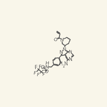 C=CC(=O)N1CCCC(n2nc(-c3ccc(CNS(=O)(=O)C(F)(F)C(F)(F)F)cc3)c3c(N)ncnc32)C1